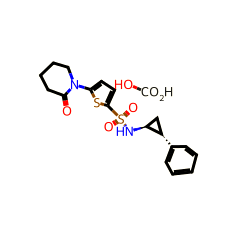 O=C(O)O.O=C1CCCCN1c1ccc(S(=O)(=O)N[C@H]2C[C@@H]2c2ccccc2)s1